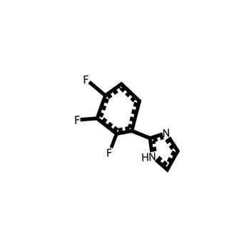 Fc1ccc(-c2ncc[nH]2)c(F)c1F